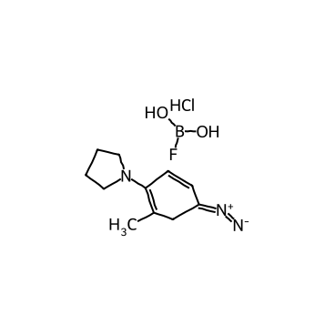 CC1=C(N2CCCC2)C=CC(=[N+]=[N-])C1.Cl.OB(O)F